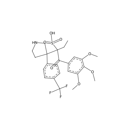 CCC(C(=O)c1cc(OC)c(OC)c(OC)c1)(C1(c2ccc(C(F)(F)F)cc2)CCNC1)S(=O)(=O)O